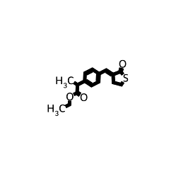 CCOC(=O)C(C)c1ccc(/C=C2\CCSC2=O)cc1